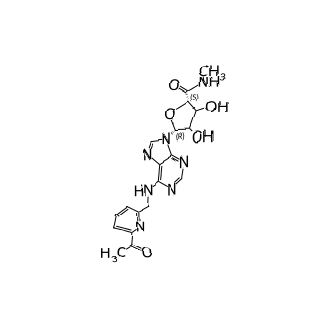 CNC(=O)[C@H]1O[C@@H](n2cnc3c(NCc4cccc(C(C)=O)n4)ncnc32)C(O)C1O